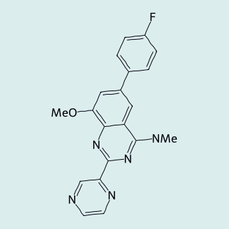 CNc1nc(-c2cnccn2)nc2c(OC)cc(-c3ccc(F)cc3)cc12